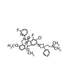 COc1ccc(OC)c(CN(c2cccc(F)n2)S(=O)(=O)c2c(F)cc(N3CC(CCN(C)C)(c4ccccc4)C3)c(Cl)c2F)c1